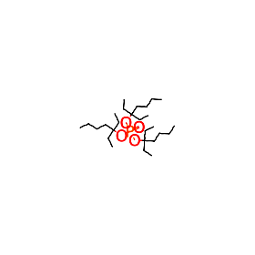 CCCCC(CC)(CC)OP(=O)(OC(CC)(CC)CCCC)OC(CC)(CC)CCCC